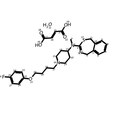 CN(C1=NCc2ccccc2CS1)C1CCN(CCCCOc2ccc(F)cc2)CC1.O.O=C(O)C=CC(=O)O